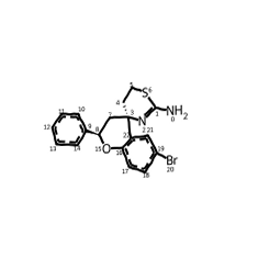 NC1=N[C@]2(CCS1)C[C@H](c1ccccc1)Oc1ccc(Br)cc12